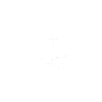 C=CC[C@@H]1[C@@H](CCC2(C)CC2)[C@@H](O)C[C@@H]1O